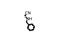 N#CSNCc1ccccc1